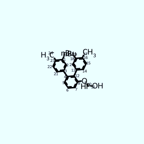 CCCCc1cc(-c2cccc(OPO)c2-c2ccc(C)c(CCCC)c2)ccc1C